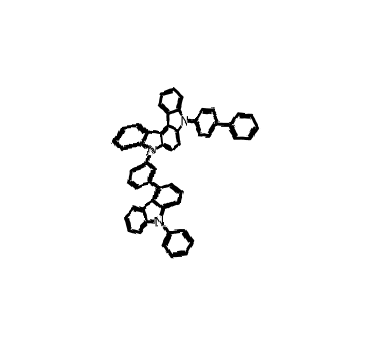 c1ccc(-c2ccc(-n3c4ccccc4c4c5c6ccccc6n(-c6cccc(-c7cccc8c7c7ccccc7n8-c7ccccc7)c6)c5ccc43)cc2)cc1